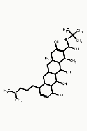 C[C@@H]1C(C(O)NC(C)(C)C)=C(O)C[C@@H]2CC3CC4C(CCCN(C)C)C=CC(O)C4C(O)C3C(O)C21